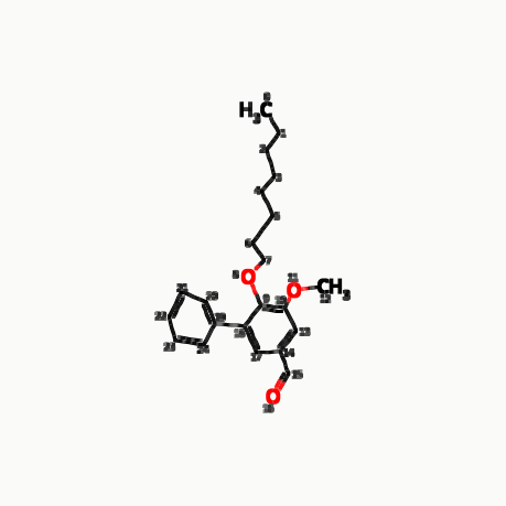 CCCCCCCCOc1c(OC)cc(C=O)cc1-c1ccccc1